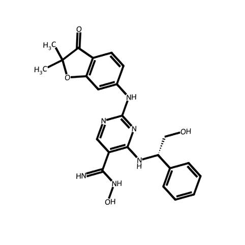 CC1(C)Oc2cc(Nc3ncc(C(=N)NO)c(N[C@H](CO)c4ccccc4)n3)ccc2C1=O